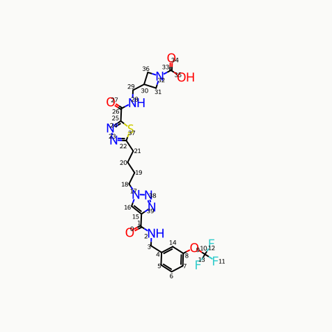 O=C(NCc1cccc(OC(F)(F)F)c1)c1cn(CCCCc2nnc(C(=O)NCC3CN(C(=O)O)C3)s2)nn1